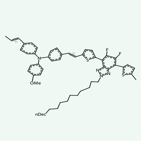 C/C=C/c1ccc(N(c2ccc(/C=C/c3ccc(-c4c(F)c(F)c(-c5ccc(C)s5)c5nn(CCCCCCCCCCCCCCCCCCCC)nc45)s3)cc2)c2ccc(OC)cc2)cc1